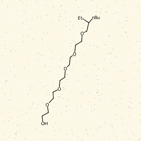 CCCCC(CC)COCCOCCOCCOCCOCCO